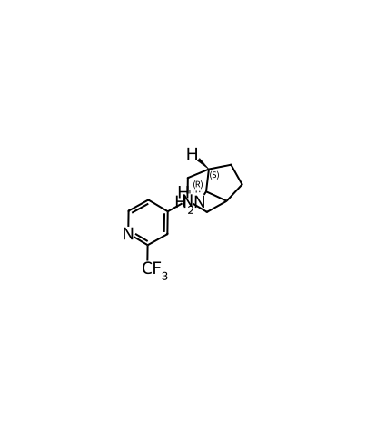 N[C@@H]1C2CC[C@H]1CN(c1ccnc(C(F)(F)F)c1)C2